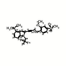 COc1cc(S(C)(=O)=O)ccc1NCC#Cc1cc2c(N(C)C)cccc2n1CC(F)(F)F